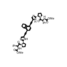 COC(=O)NC(C(=O)N1CCC[C@@H]1c1ncc(C#Cc2ccc(C#Cc3cnc([C@@H]4CCCN4C(=O)[C@@H](NC(=O)OC)C(C)C)[nH]3)c3c2C2CCC3C2)[nH]1)C(C)C